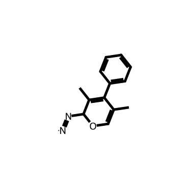 CC1=COC(N=[N])C(C)=C1c1ccccc1